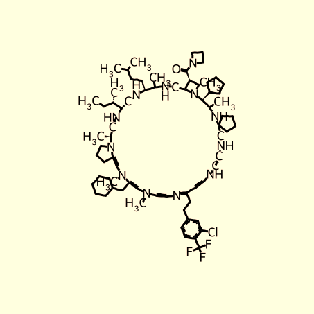 CC[C@H](C)[C@H]1CN[C@@H](CCC(C)C)C(C)NCC2[C@@H](C(=O)N3CCC3)C(C)N2[C@@H](C2CCCC2)C(C)NC2(CCCC2)CNCCNC=CC(CCc2ccc(C(F)(F)F)c(Cl)c2)=NC=CN(C)C=C(CC2CCCCC2)N(C)C=C2CCCN2[C@@H](C)CN1